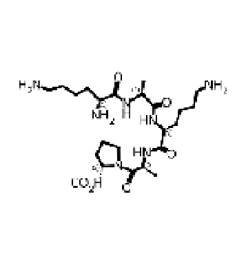 C[C@H](NC(=O)[C@@H](N)CCCCN)C(=O)N[C@@H](CCCCN)C(=O)N[C@@H](C)C(=O)N1CCC[C@H]1C(=O)O